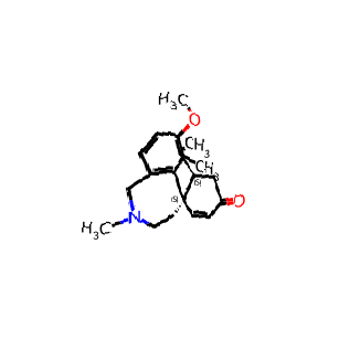 CC[C@H]1CC(=O)C=C[C@]12CCN(C)Cc1ccc(OC)c(C)c12